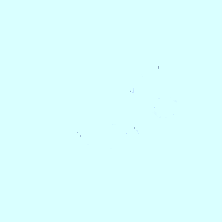 CCCNC(=O)c1ccc(N(C)C(CN2CCC(O)C2)c2ccccc2)c(Cl)c1